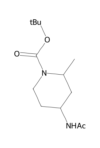 CC(=O)NC1CCN(C(=O)OC(C)(C)C)C(C)C1